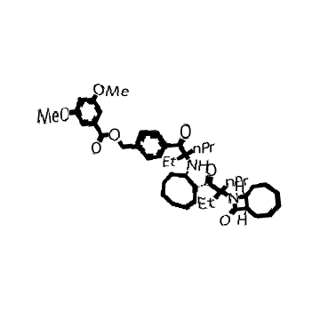 CCCC(CC)(N[C@H]1CCCCCC[C@H]1C(=O)C(CC)(CCC)N1C(=O)[C@@H]2CCCCCC[C@@H]21)C(=O)c1ccc(COC(=O)c2cc(OC)cc(OC)c2)cc1